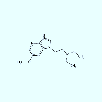 CCN(CC)CCc1c[nH]c2ncc(OC)cc12